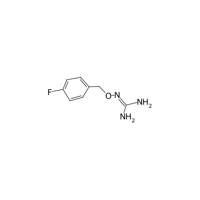 NC(N)=NOCc1ccc(F)cc1